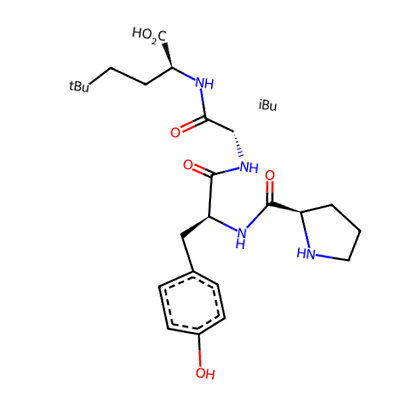 CC[C@H](C)[C@H](NC(=O)[C@H](Cc1ccc(O)cc1)NC(=O)[C@H]1CCCN1)C(=O)N[C@@H](CCC(C)(C)C)C(=O)O